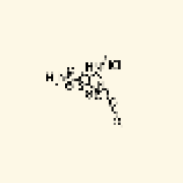 CCN[C@H]1CN(CCOCCOC)S(=O)(=O)c2sc(S(N)(=O)=O)cc21.Cl